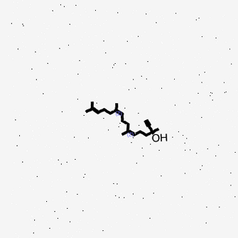 C#CC(C)(O)CC/C=C(/C)CC/C=C(/C)CCC=C(C)C